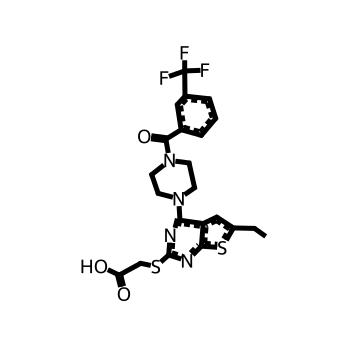 CCc1cc2c(N3CCN(C(=O)c4cccc(C(F)(F)F)c4)CC3)nc(SCC(=O)O)nc2s1